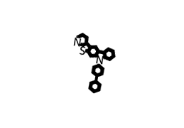 c1ccc(-c2ccc(-n3c4ccccc4c4cc5c(cc43)sc3ncccc35)cc2)cc1